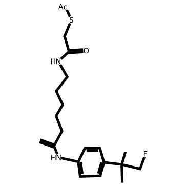 C=C(CCCCCNC(=O)CSC(C)=O)Nc1ccc(C(C)(C)CF)cc1